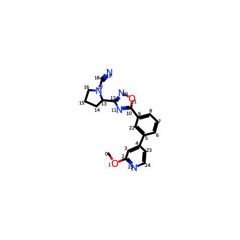 COc1cc(-c2cccc(-c3nc(C4CCCN4C#N)no3)c2)ccn1